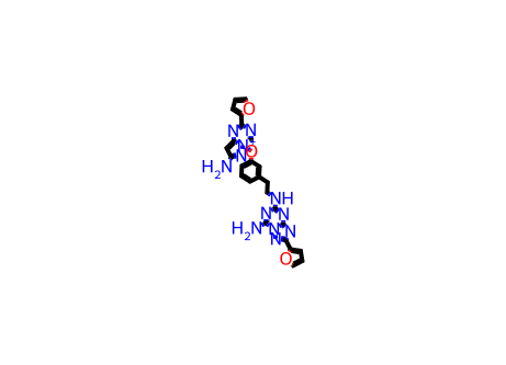 NC1=N[N+]2(Oc3cccc(CCNc4nc(N)n5nc(-c6ccco6)nc5n4)c3)C=NC(c3ccco3)=NC2=C1